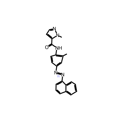 Cc1cc(/N=N/c2cccc3ccccc23)ccc1NC(=O)c1ccnn1C